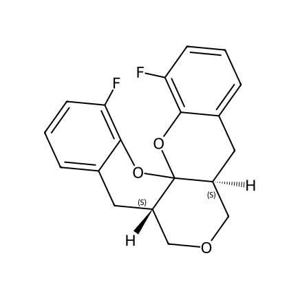 Fc1cccc2c1OC13Oc4c(F)cccc4C[C@H]1COC[C@@H]3C2